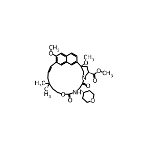 COC(=O)[C@@H]1C[C@]2(OC)CN1C(=O)[C@H](C1CCOCC1)NC(=O)OCCC(C)(C)CC=Cc1cc3cc2ccc3cc1OC